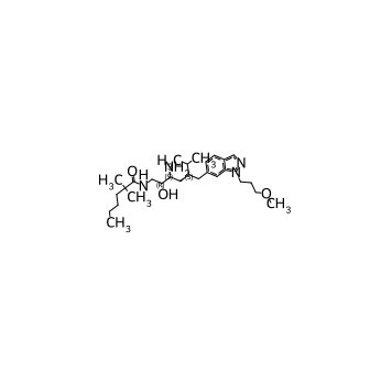 CCCCC(C)(C)C(=O)NC[C@@H](O)[C@@H](N)C[C@H](Cc1ccc2cnn(CCCOC)c2c1)C(C)C